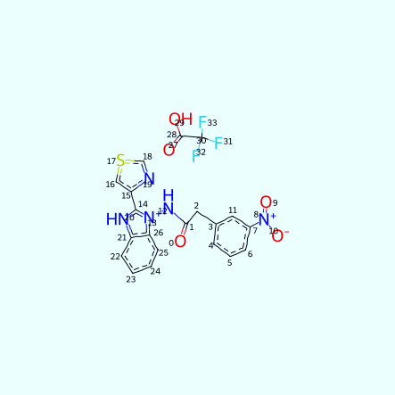 O=C(Cc1cccc([N+](=O)[O-])c1)N[n+]1c(-c2cscn2)[nH]c2ccccc21.O=C(O)C(F)(F)F